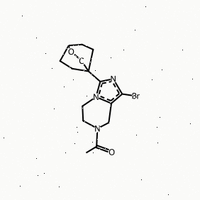 CC(=O)N1CCn2c(C34CCC(CC3)OC4)nc(Br)c2C1